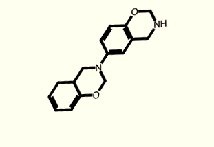 C1=CCC2CN(c3ccc4c(c3)CNCO4)COC2=C1